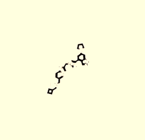 Cl.c1cc2nc(Cn3cc(-c4cc(N5CCCC5)cc5[nH]ncc45)nn3)cn2cc1CNCC1CCC1